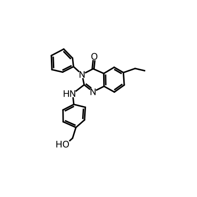 CCc1ccc2nc(Nc3ccc(CO)cc3)n(-c3ccccc3)c(=O)c2c1